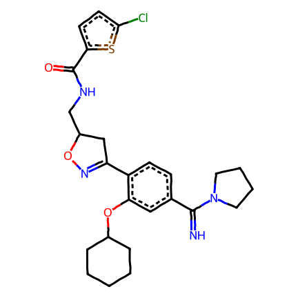 N=C(c1ccc(C2=NOC(CNC(=O)c3ccc(Cl)s3)C2)c(OC2CCCCC2)c1)N1CCCC1